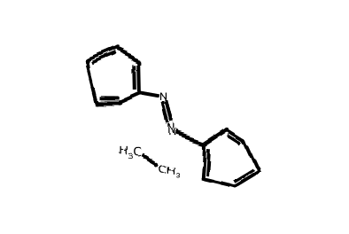 CC.c1ccc(/N=N/c2ccccc2)cc1